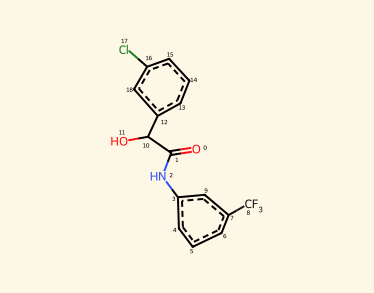 O=C(Nc1cccc(C(F)(F)F)c1)C(O)c1cccc(Cl)c1